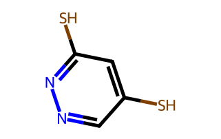 Sc1cnnc(S)c1